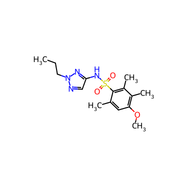 CCCn1ncc(NS(=O)(=O)c2c(C)cc(OC)c(C)c2C)n1